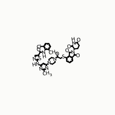 Cc1nc(Nc2ncc(C(=O)Nc3c(C)cccc3Cl)s2)cc(N2CCN(C(=O)CSc3cccc4c3C(=O)N(C3CCC(=O)NC3=O)C4=O)CC2)n1